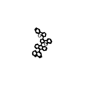 c1ccc2c(-c3c4ccccc4c(-c4ccc(-c5cccc6c5oc5ccccc56)c5c4oc4ccccc45)c4ccccc34)cccc2c1